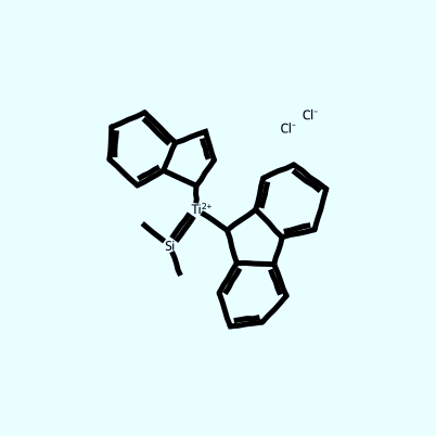 C[Si](C)=[Ti+2]([CH]1C=Cc2ccccc21)[CH]1c2ccccc2-c2ccccc21.[Cl-].[Cl-]